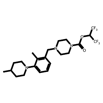 Cc1c(CN2CCN(C(=O)OC(C(F)(F)F)C(F)(F)F)CC2)cccc1N1CCC(C)CC1